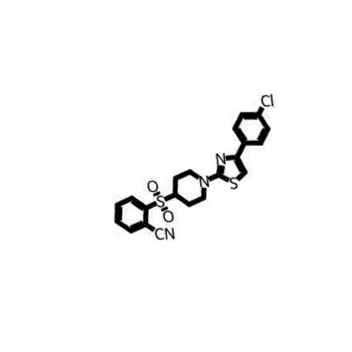 N#Cc1ccccc1S(=O)(=O)C1CCN(c2nc(-c3ccc(Cl)cc3)cs2)CC1